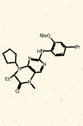 CCC1C(=O)N(C)c2cnc(Nc3ccc(C(C)C)cc3OC)nc2N1C1CCCC1